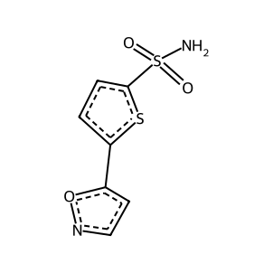 NS(=O)(=O)c1ccc(-c2ccno2)s1